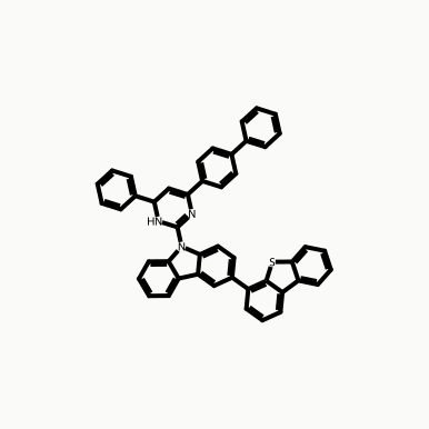 C1=C(c2ccc(-c3ccccc3)cc2)N=C(n2c3ccccc3c3cc(-c4cccc5c4sc4ccccc45)ccc32)NC1c1ccccc1